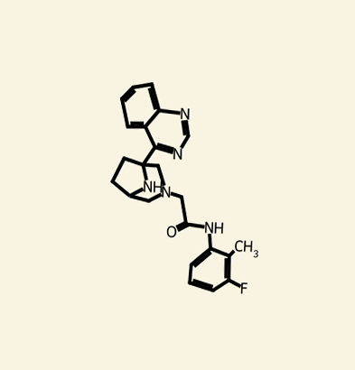 Cc1c(F)cccc1NC(=O)CN1CC2CCC(c3ncnc4ccccc34)(C1)N2